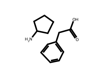 NC1CCCC1.O=C(O)Cc1ccccc1